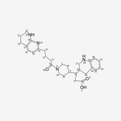 O=C(O)CC(C1CCN(C(=O)CCCc2ccc3c(n2)NCCC3)CC1)C1CNc2ccccc2C1